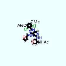 COc1cc(OC)c(Cl)c(-c2nc(NCC3CCCO3)c3cc(N[C@@H]4COCC[C@@H]4NC(C)=O)ncc3n2)c1Cl